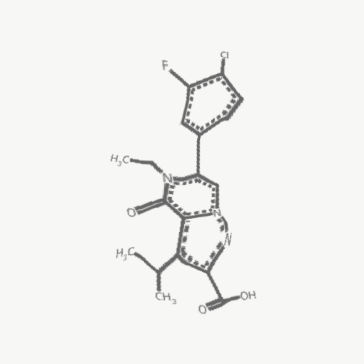 CCn1c(-c2ccc(Cl)c(F)c2)cn2nc(C(=O)O)c(C(C)C)c2c1=O